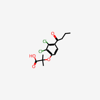 CCCC(=O)c1ccc(OC(C)(C)C(=O)O)c(Cl)c1Cl